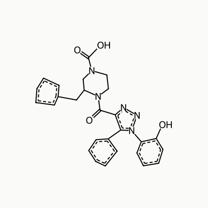 O=C(O)N1CCN(C(=O)c2nnn(-c3ccccc3O)c2-c2ccccc2)C(Cc2ccccc2)C1